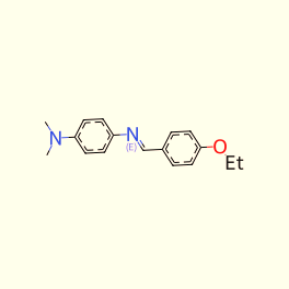 CCOc1ccc(/C=N/c2ccc(N(C)C)cc2)cc1